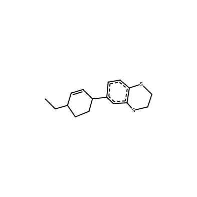 CCC1C=CC(c2ccc3c(c2)SCCS3)CC1